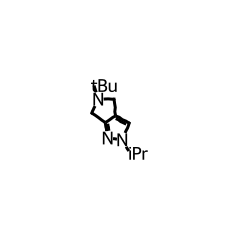 CC(C)n1cc2c(n1)CN(C(C)(C)C)C2